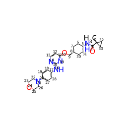 CC1(C(=O)N[C@H]2CC[C@H](COc3ccnc(Nc4ccc(N5CCOCC5)cc4)n3)CC2)CC1